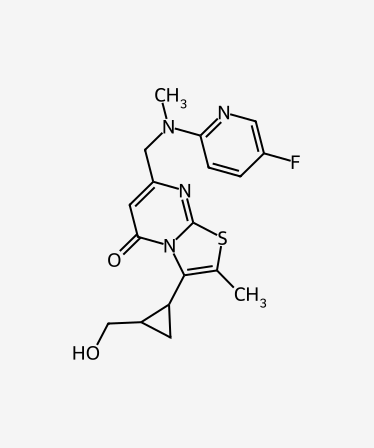 Cc1sc2nc(CN(C)c3ccc(F)cn3)cc(=O)n2c1C1CC1CO